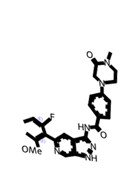 C/C=C(F)\C(=C(/C)OC)c1cc2c(NC(=O)c3ccc(N4CCN(C)C(=O)C4)cc3)n[nH]c2cn1